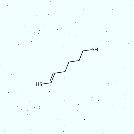 SC=CCCCCS